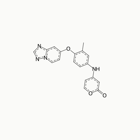 Cc1cc(Nc2ccoc(=O)c2)ccc1Oc1ccn2ncnc2c1